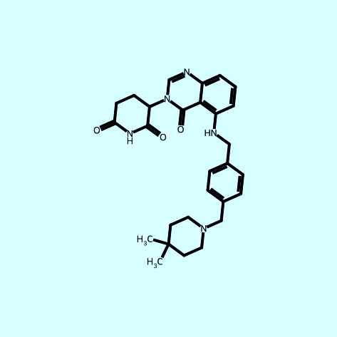 CC1(C)CCN(Cc2ccc(CNc3cccc4ncn(C5CCC(=O)NC5=O)c(=O)c34)cc2)CC1